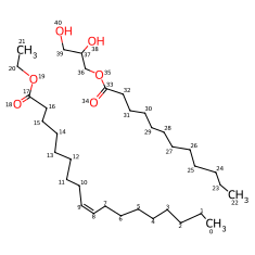 CCCCCCCC/C=C\CCCCCCCC(=O)OCC.CCCCCCCCCCCC(=O)OCC(O)CO